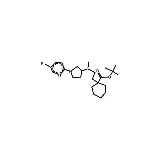 CN(CCC1(C(=O)OC(C)(C)C)CCCCC1)C1CCN(c2ccc(Br)cn2)C1